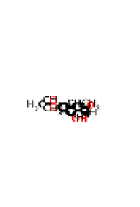 CC(C)(C)C(=O)O[C@H]1CC[C@@]2(C)C(=C[C@H](O)C3C2CC[C@]2(C)C(=O)[C@H]4C[C@H]4C32)C1